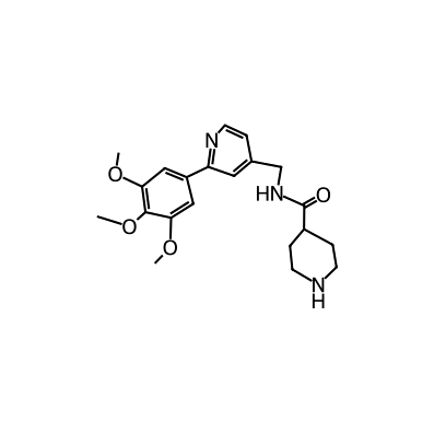 COc1cc(-c2cc(CNC(=O)C3CCNCC3)ccn2)cc(OC)c1OC